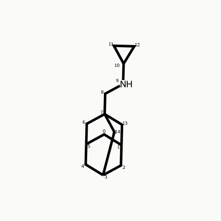 C1C2CC3CC1CC(CNC1CC1)(C2)C3